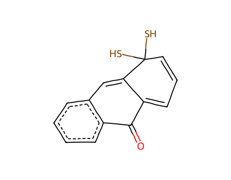 O=C1C2=CC=CC(S)(S)C2=Cc2ccccc21